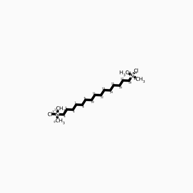 C[Si](C)(Cl)CCCCCCCCCCCCCCC[Si](C)(C)Cl